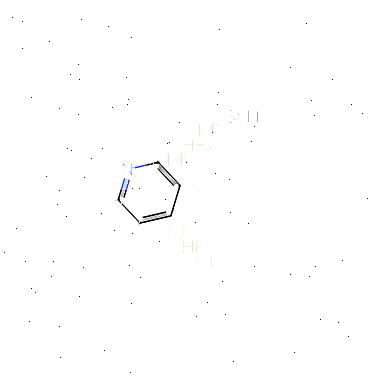 F.F.F.F.F.F.[SbH3].c1ccncc1